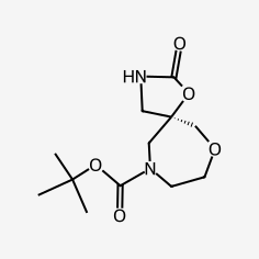 CC(C)(C)OC(=O)N1CCOC[C@@]2(CNC(=O)O2)C1